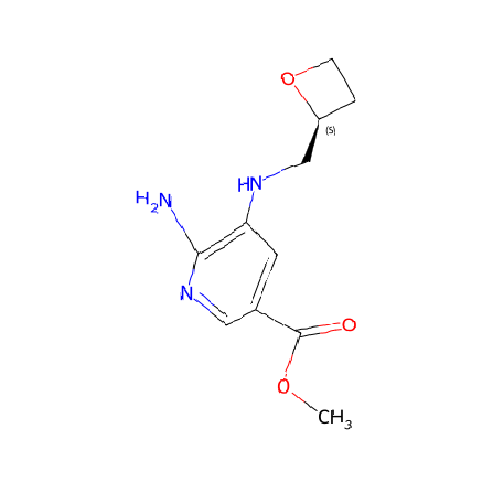 COC(=O)c1cnc(N)c(NC[C@@H]2CCO2)c1